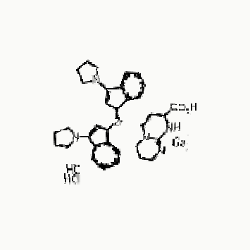 C1=C(N2CCCC2)c2ccccc2[CH]1[Zr][CH]1C=C(N2CCCC2)c2ccccc21.Cl.Cl.O=C(O)C1CCN2CCCN=C2N1.[Ga]